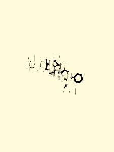 CC1(C)[S+]([O-])[C@@H]2C(NC(=O)CN(C(=O)OCC(Cl)(Cl)Cl)c3ccccc3)C(=O)N2C1(CC(Cl)(Cl)Cl)C(=O)O